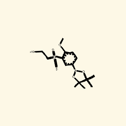 COc1ccc(B2OC(C)(C)C(C)(C)O2)cc1S(=O)(=O)CCO